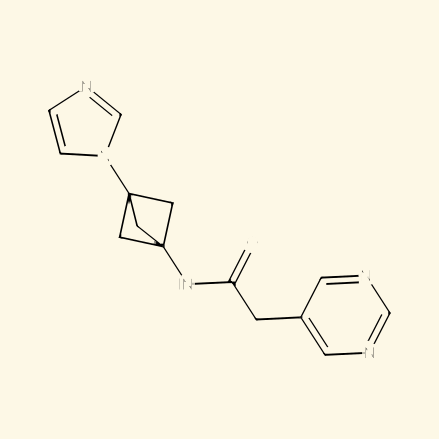 O=C(Cc1cncnc1)NC12CC(n3ccnc3)(C1)C2